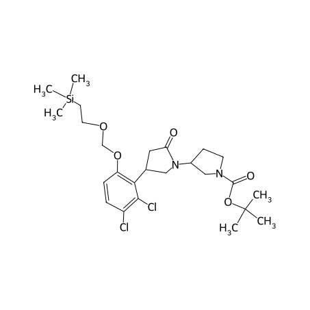 CC(C)(C)OC(=O)N1CCC(N2CC(c3c(OCOCC[Si](C)(C)C)ccc(Cl)c3Cl)CC2=O)C1